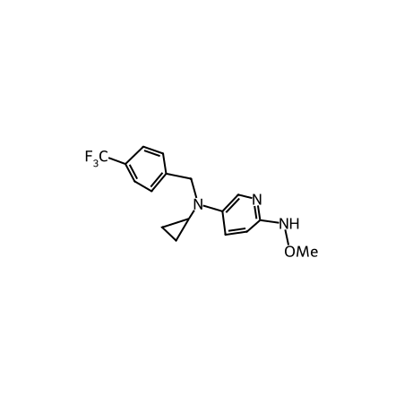 CONc1ccc(N(Cc2ccc(C(F)(F)F)cc2)C2CC2)cn1